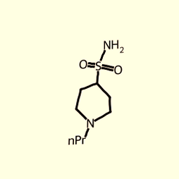 CCCN1CCC(S(N)(=O)=O)CC1